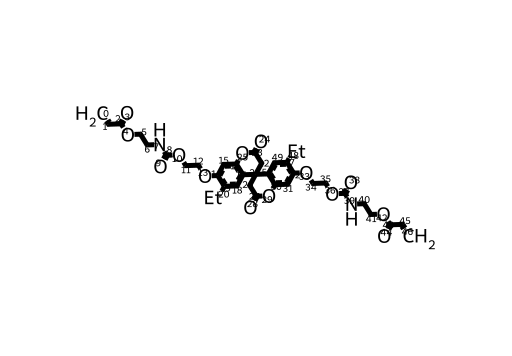 C=CC(=O)OCCNC(=O)OCCOc1cc2c(cc1CC)C1(CC(=O)O2)CC(=O)Oc2cc(OCCOC(=O)NCCOC(=O)C=C)c(CC)cc21